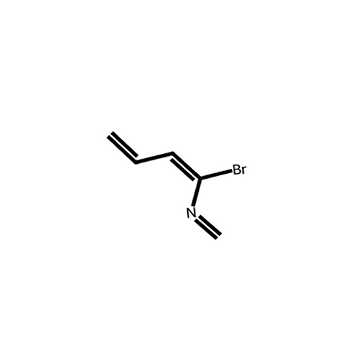 C=C/C=C(/Br)N=C